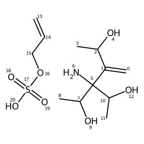 C=C(C(C)O)C(N)(C(C)O)C(C)O.C=CCOS(=O)(=O)O